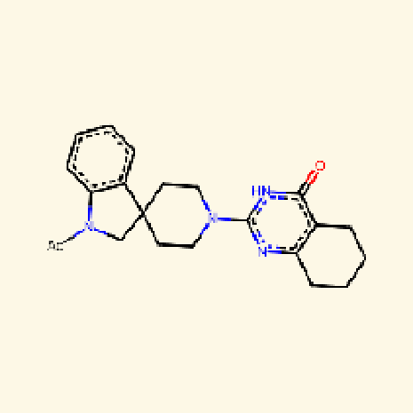 CC(=O)N1CC2(CCN(c3nc4c(c(=O)[nH]3)CCCC4)CC2)c2ccccc21